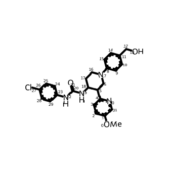 COc1ccc(C2CN(c3ccc(CO)cc3)CCC2NC(=O)Nc2ccc(Cl)cc2)nc1